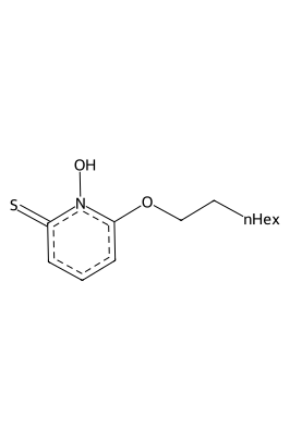 CCCCCCCCOc1cccc(=S)n1O